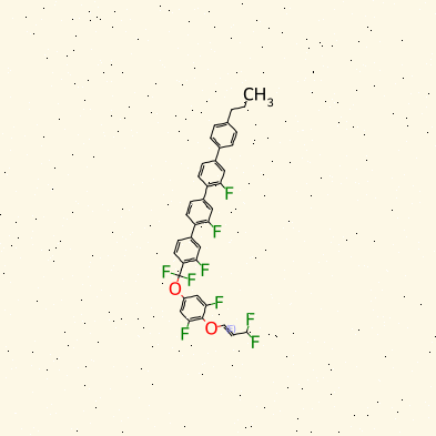 CCCc1ccc(-c2ccc(-c3ccc(-c4ccc(C(F)(F)Oc5cc(F)c(O/C=C/C(F)F)c(F)c5)c(F)c4)c(F)c3)c(F)c2)cc1